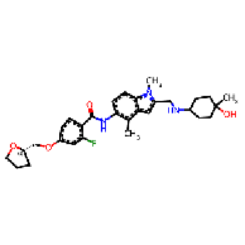 Cc1c(NC(=O)c2ccc(OC[C@@H]3CCCO3)cc2F)ccc2c1cc(CNC1CCC(C)(O)CC1)n2C